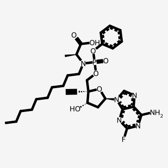 C#C[C@]1(COP(=O)(Oc2ccccc2)N(CCCCCCCCCC)[C@@H](C)C(=O)O)O[C@@H](n2cnc3c(N)nc(F)nc32)C[C@@H]1O